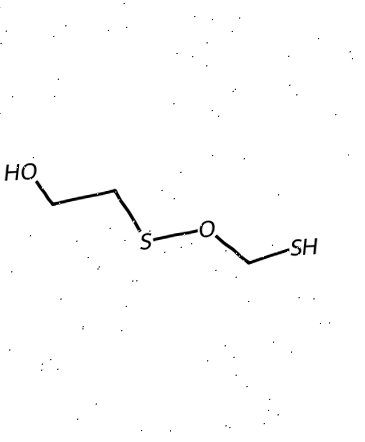 OCCSOCS